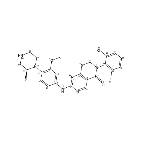 COc1cc(Nc2ncc3c(n2)SCN(c2c(F)cccc2Cl)C3=O)ccc1N1CCNC[C@@H]1C